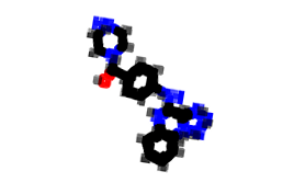 O=C(c1ccc(Nc2nc3ccccc3n3nnnc23)cc1)N1CCNCC1